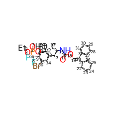 CCOP(=O)(OCC)C(F)(F)c1ccc(C[C@H](NC(=O)OCC2c3ccccc3-c3ccccc32)C(=O)O)cc1Br